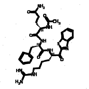 CC(=O)N[C@@H](CCC(N)=O)C(=O)N[C@@H](Cc1ccccc1)C(=O)N[C@@H](CCCCNC(=N)N)C(=O)c1nc2ccccc2s1